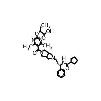 CCC(Oc1nc(C)c(C(=O)N2CC3CN(CC[C@H](NC(=O)C4CCCC4)c4ccccc4)CC3C2)c(C)n1)C(=O)O